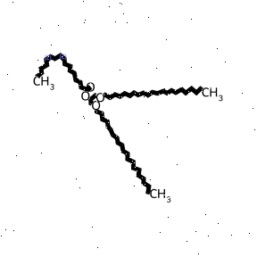 CCCCC/C=C\C/C=C\CCCCCCCC(=O)OC(COCCCCCCCCCCCCCCCCCCCCCC)COCCCCCCCCCCCCCCCCCCCCCC